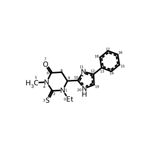 CCN1C(=S)N(C)C(=O)CC1c1nc(-c2ccccc2)c[nH]1